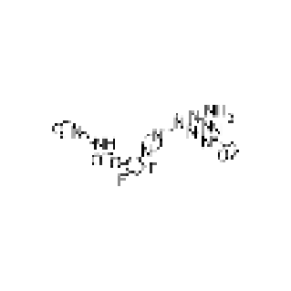 CN(CCN1CCN(c2cc(OCC(=O)NCCN3CCOCC3)c(F)cc2F)CC1)c1nc(N)n2nc(-c3ccco3)nc2n1